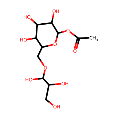 CC(=O)OC1OC(COC(O)C(O)CO)C(O)C(O)C1O